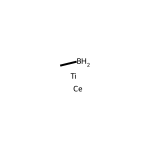 BC.[Ce].[Ti]